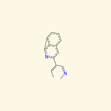 C/C=C(\C=N/C)c1cc2cccc3c2c-3n1